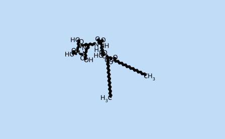 CCCCCCCCCCCCCCCCCC(=O)OCC(COP(=O)(O)OCCNc1c(NCCCc2cc3nc(c2)CN(CC(=O)O)CCN(CC(=O)O)CCN(CC(=O)O)C3)c(=O)c1=O)OC(=O)CCCCCCCCCCCCCCCCC